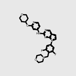 Fc1cc(-n2ccc3cnc(Nc4ccnc(OC5CCOCC5)c4)nc32)cc(F)c1CN1CCOCC1